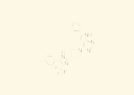 Cc1ccc(-c2cc3c(N4CCC(c5nc(C(F)(F)F)c(-c6ccc(C)cc6)[nH]5)CC4)ncnc3[nH]2)cc1